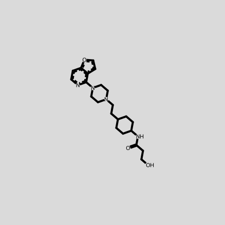 O=C(CCO)NC1CCC(CCN2CCN(c3nccc4occc34)CC2)CC1